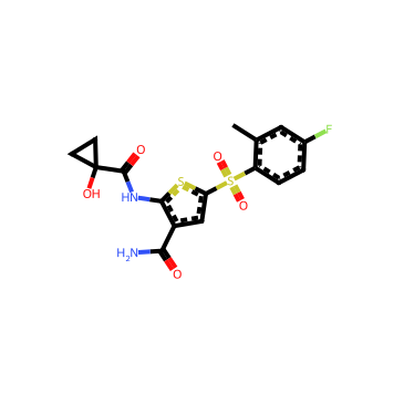 Cc1cc(F)ccc1S(=O)(=O)c1cc(C(N)=O)c(NC(=O)C2(O)CC2)s1